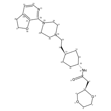 O=C(C[C@@H]1COCCO1)N[C@H]1CC[C@H](CCN2CCN(c3nccc4c3OCC4)CC2)CC1